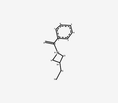 C=C(c1ccccc1)N1CC(CC)C1